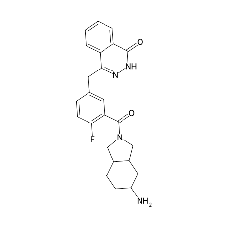 NC1CCC2CN(C(=O)c3cc(Cc4n[nH]c(=O)c5ccccc45)ccc3F)CC2C1